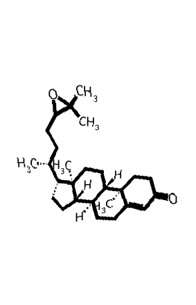 C[C@H](CCC1OC1(C)C)[C@H]1CC[C@H]2[C@@H]3CCC4=CC(=O)CC[C@]4(C)[C@H]3CC[C@]12C